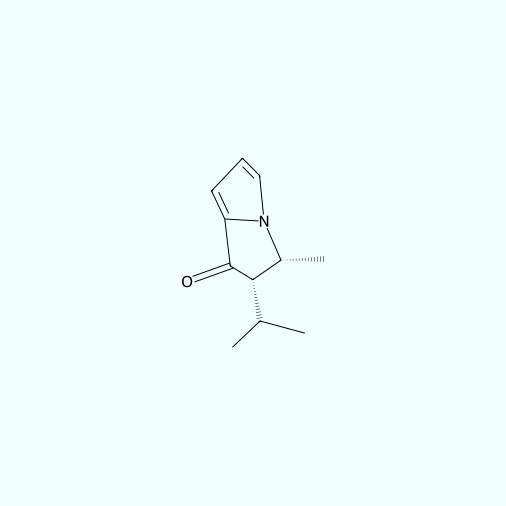 CC(C)[C@@H]1C(=O)c2cccn2[C@@H]1C